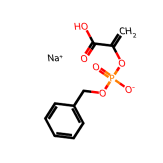 C=C(OP(=O)([O-])OCc1ccccc1)C(=O)O.[Na+]